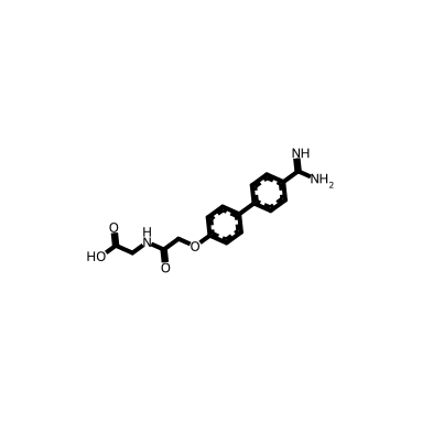 N=C(N)c1ccc(-c2ccc(OCC(=O)NCC(=O)O)cc2)cc1